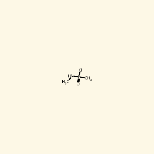 CNP(C)(=O)Cl